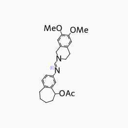 COc1cc2c(cc1OC)CN(/C=N/c1ccc3c(c1)C(OC(C)=O)CCCC3)CC2